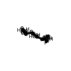 O=C1CCC(N2C(=O)c3cccc(NCCCC(=O)N4CCC(NC(O)c5ccc(C#Cc6ccc7c(c6)C(=O)N(C(C(=O)Nc6nccs6)c6cc(F)ccc6O)C7)cn5)CC4)c3C2=O)C(=O)N1